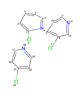 Clc1ccccn1.Clc1cccnc1.Clc1ccncc1